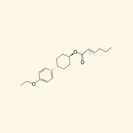 CCC/C=C/C(=O)O[C@H]1CC[C@H](c2ccc(OCC)cc2)CC1